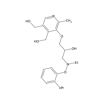 CCCc1ccccc1ON(CC)CC(O)COc1c(C)ncc(CO)c1CO